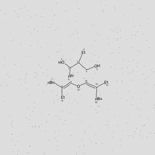 CCCC(O)C(CC)CO.CCCCC(=COC=C(CC)CCCC)CC